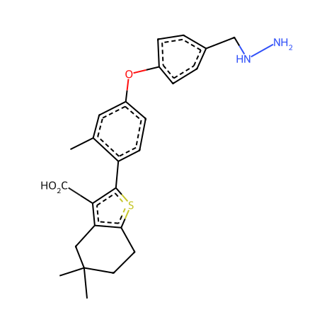 Cc1cc(Oc2ccc(CNN)cc2)ccc1-c1sc2c(c1C(=O)O)CC(C)(C)CC2